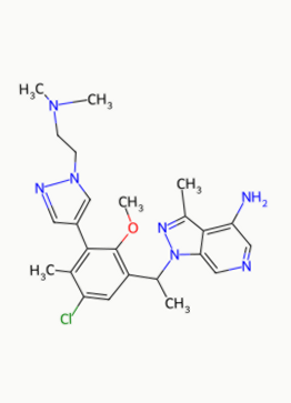 COc1c(C(C)n2nc(C)c3c(N)cncc32)cc(Cl)c(C)c1-c1cnn(CCN(C)C)c1